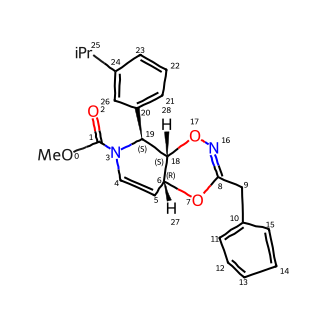 COC(=O)N1C=C[C@H]2OC(Cc3ccccc3)=NO[C@H]2[C@@H]1c1cccc(C(C)C)c1